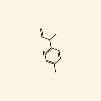 C=CC(C)c1ccc(C)cn1